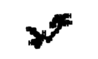 Cc1ncsc1-c1ccc(C(C)NC(=O)[C@@H]2C[C@@H](O)CN2C(=O)C(NC(=O)COCCOCCOCCN(C)C(=O)CCNc2nc(N3CCN(C(=O)OC(C)(C)C)CC3)c3cc(Cl)c(-c4c(O)cccc4F)c(F)c3n2)C(C)(C)C)cc1